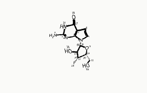 Nc1nc2c(ccn2[C@@H]2O[C@H](CO)[C@H](F)C2O)c(=O)[nH]1